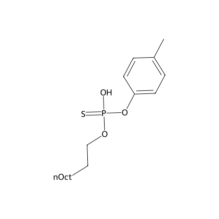 CCCCCCCCCCOP(O)(=S)Oc1ccc(C)cc1